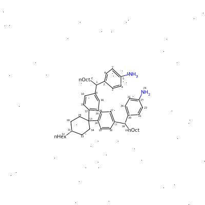 CCCCCCCCC(c1ccc(N)cc1)c1ccc(C2(c3ccc(C(CCCCCCCC)c4ccc(N)cc4)cc3)CCC(CCCCCC)CC2)cc1